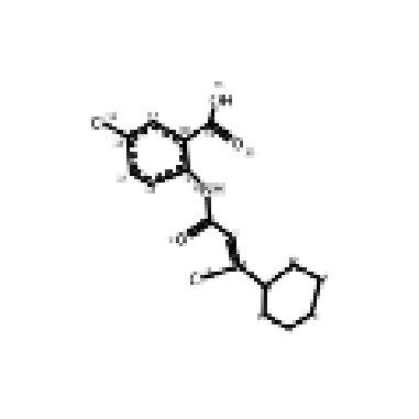 O=C(C=C(Cl)C1CCCCC1)Nc1ccc(Cl)cc1C(=O)O